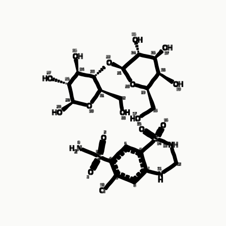 NS(=O)(=O)c1cc2c(cc1Cl)NCNS2(=O)=O.OC[C@H]1O[C@@H](O[C@H]2[C@H](O)[C@@H](O)[C@H](O)O[C@@H]2CO)[C@H](O)[C@@H](O)[C@H]1O